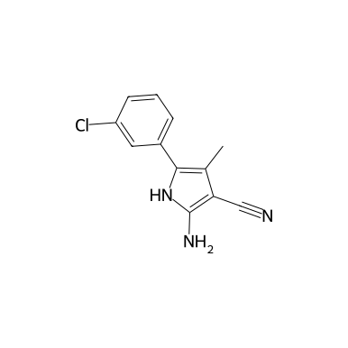 Cc1c(-c2cccc(Cl)c2)[nH]c(N)c1C#N